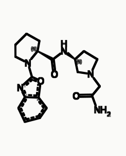 NC(=O)CN1CC[C@H](NC(=O)[C@@H]2CCCCN2c2nc3ccccc3o2)C1